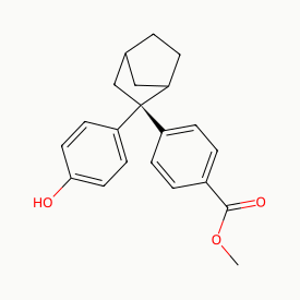 COC(=O)c1ccc([C@@]2(c3ccc(O)cc3)CC3CCC2C3)cc1